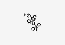 C1=C(c2c(-c3ccccc3)[nH]c3ccccc23)CCNC1.c1ccc(-c2[nH]c3ccccc3c2C2CCNCC2)cc1